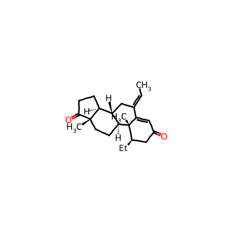 CC=C1C[C@@H]2[C@H](CC[C@]3(C)C(=O)CC[C@@H]23)[C@]2(C)C1=CC(=O)C[C@H]2CC